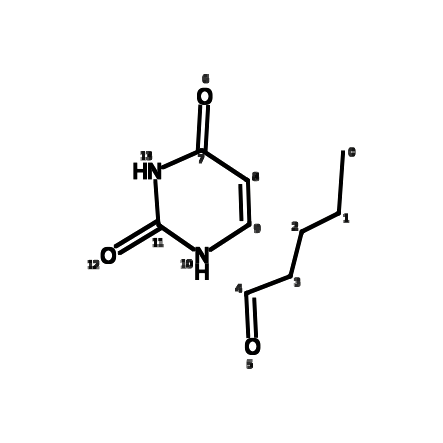 CCCCC=O.O=c1cc[nH]c(=O)[nH]1